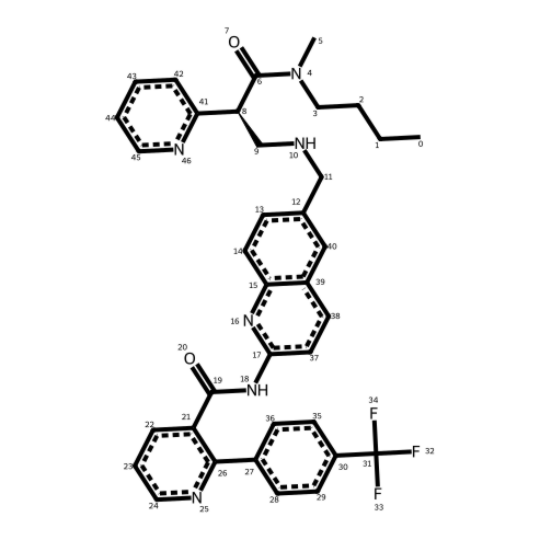 CCCCN(C)C(=O)[C@@H](CNCc1ccc2nc(NC(=O)c3cccnc3-c3ccc(C(F)(F)F)cc3)ccc2c1)c1ccccn1